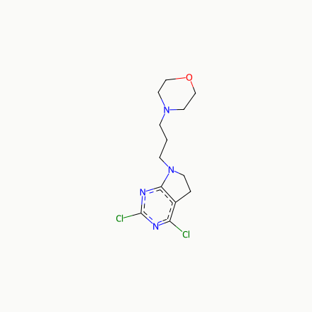 Clc1nc(Cl)c2c(n1)N(CCCN1CCOCC1)CC2